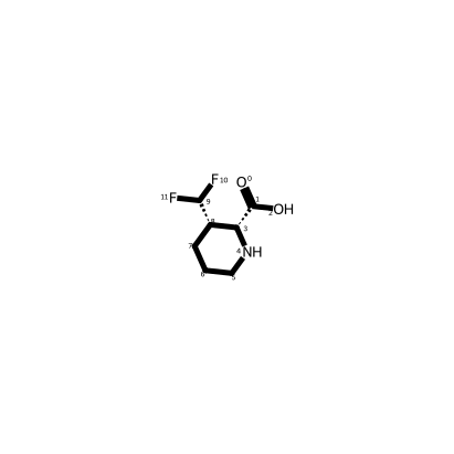 O=C(O)[C@@H]1NCCC[C@@H]1C(F)F